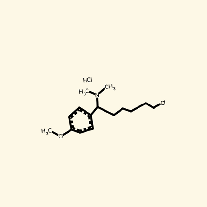 COc1ccc(C(CCCCCCl)N(C)C)cc1.Cl